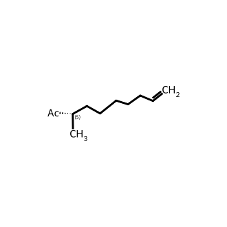 C=CCCCCC[C@H](C)C(C)=O